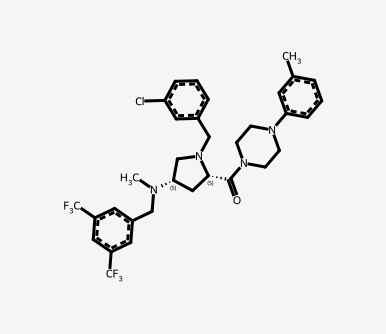 Cc1cccc(N2CCN(C(=O)[C@@H]3C[C@H](N(C)Cc4cc(C(F)(F)F)cc(C(F)(F)F)c4)CN3Cc3cccc(Cl)c3)CC2)c1